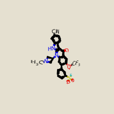 CN1CC(n2c3cc(-c4cccc(S(=O)(=O)F)c4)c(OC(F)(F)F)cc3c(=O)c3c4ccc(C#N)cc4[nH]c32)C1